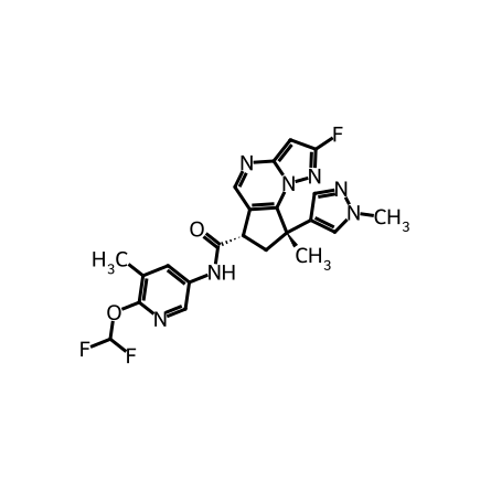 Cc1cc(NC(=O)[C@H]2C[C@@](C)(c3cnn(C)c3)c3c2cnc2cc(F)nn32)cnc1OC(F)F